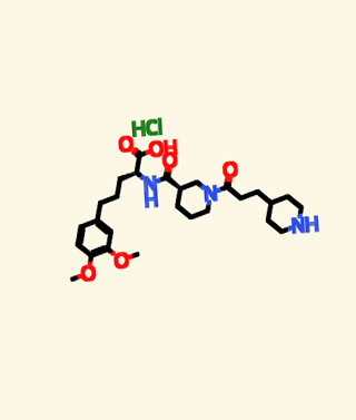 COc1ccc(CCC[C@H](NC(=O)[C@@H]2CCCN(C(=O)CCC3CCNCC3)C2)C(=O)O)cc1OC.Cl